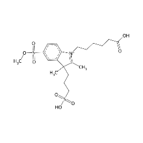 COS(=O)(=O)c1ccc2c(c1)C(C)(CCCS(=O)(=O)O)C(C)=[N+]2CCCCCC(=O)O